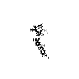 C#CCNC(=O)C(=C=c1sc(=C=CNc2cccc(NC(=O)CN3CCC(C)CC3)c2)c(=O)n1CC)C#N